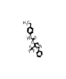 CCc1ccc(NC(=O)Oc2cnn(-c3ccccc3)c2C(F)(F)F)cc1